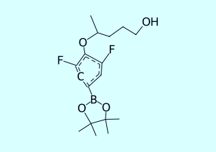 CC(CCCO)Oc1c(F)cc(B2OC(C)(C)C(C)(C)O2)cc1F